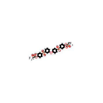 O=S(=O)(c1ccc(Oc2cccc(S(=O)(=O)c3ccc(OS(=O)(=O)C(F)(F)F)cc3)c2)cc1)c1ccc(OS(=O)(=O)C(F)(F)F)cc1